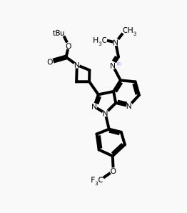 CN(C)/C=N/c1ccnc2c1c(C1CN(C(=O)OC(C)(C)C)C1)nn2-c1ccc(OC(F)(F)F)cc1